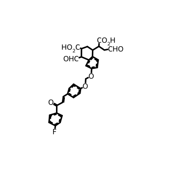 O=CCC(C(=O)O)C1CC(C(=O)O)C(C=O)c2cc(OCOc3ccc(/C=C/C(=O)c4ccc(F)cc4)cc3)ccc21